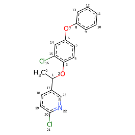 CC(Oc1ccc(Oc2ccccc2)cc1Cl)c1ccc(Cl)nc1